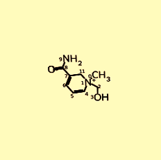 C[N+]1(CO)C=CC=C(C(N)=O)C1